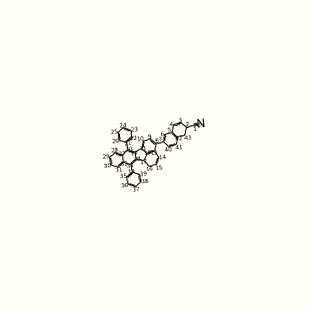 N#CC1C=Cc2cc(-c3ccc4c5c3C=CCC5c3c-4c(-c4ccccc4)c4ccccc4c3-c3ccccc3)ccc2C1